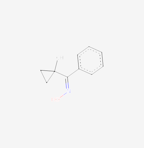 CC1(C(=NO)c2ccccc2)CC1